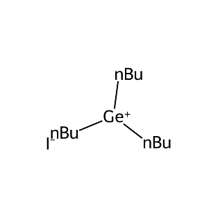 CCC[CH2][Ge+]([CH2]CCC)[CH2]CCC.[I-]